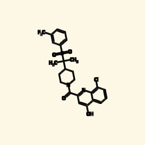 CC(C)(C1CCN(C(=O)c2cc(O)c3cccc(Cl)c3n2)CC1)S(=O)(=O)c1cccc(C(F)(F)F)c1